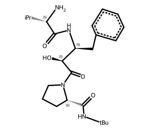 CC(C)[C@H](N)C(=O)N[C@@H](Cc1ccccc1)[C@H](O)C(=O)N1CCC[C@H]1C(=O)NC(C)(C)C